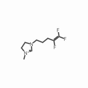 C[N+]1=CN(CCCC(F)=C(F)F)CC1